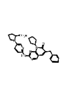 O=C(O)C1CCCN1c1ccc(Nc2ncc3cc(Cc4ccccc4)c(=O)n(C4CCCC4)c3n2)nc1